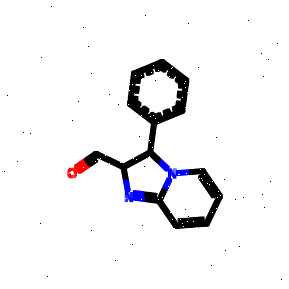 O=CC1N=C2C=CC=CN2C1c1ccccc1